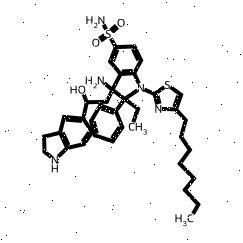 CCCCCCCCc1csc(N2c3ccc(S(N)(=O)=O)cc3C(N)(CC(O)c3ccc4c(c3)CCN4)C2(CC)c2ccccc2)n1